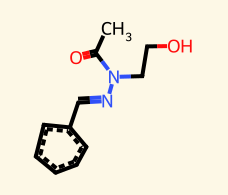 CC(=O)N(CCO)/N=C/c1ccccc1